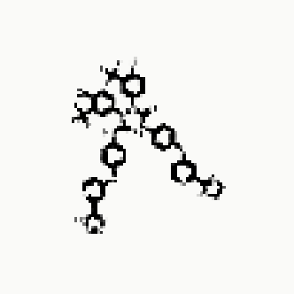 O=C(Nc1ccc(Oc2ccnc(C3=NCCN3)c2)cc1)N(c1ccc(Cl)c(C(F)(F)F)c1)N(C(=O)Nc1ccc(Oc2ccnc(-c3nnn[nH]3)c2)cc1)c1ccc(Cl)c(C(F)(F)F)c1